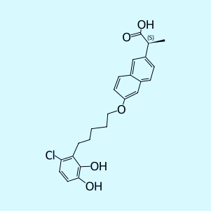 C[C@H](C(=O)O)c1ccc2cc(OCCCCCc3c(Cl)ccc(O)c3O)ccc2c1